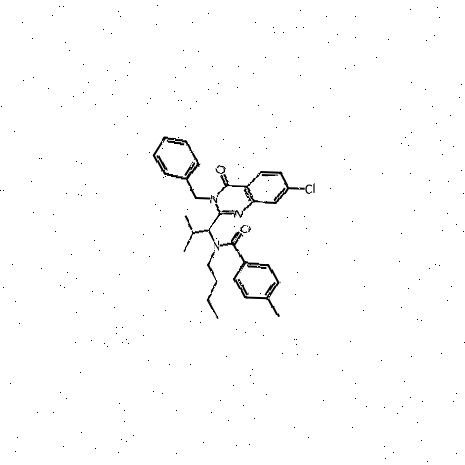 CCCCN(C(=O)c1ccc(C)cc1)C(c1nc2cc(Cl)ccc2c(=O)n1Cc1ccccc1)C(C)C